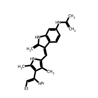 C=C(C)Nc1ccc2/c(=C/c3[nH]c(C)c(/C(=C/CC)CCC)c3C)c(=C)[nH]c2c1